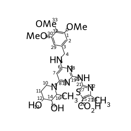 COc1cc(CNc2cc(N3CCC(O)C(O)C3C)nc(Nc3nc(C)c(C(=O)O)s3)n2)cc(OC)c1OC